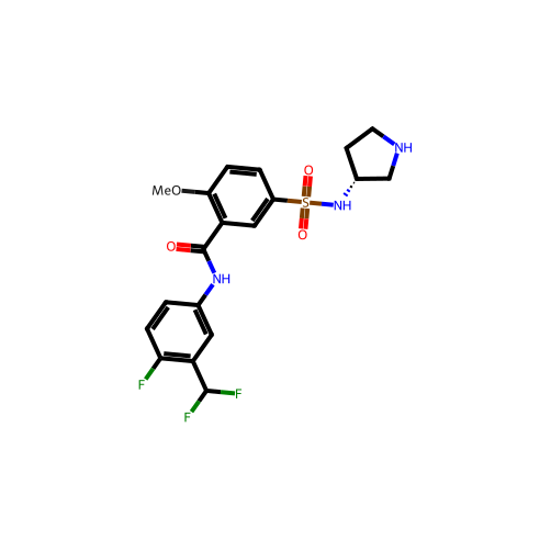 COc1ccc(S(=O)(=O)N[C@@H]2CCNC2)cc1C(=O)Nc1ccc(F)c(C(F)F)c1